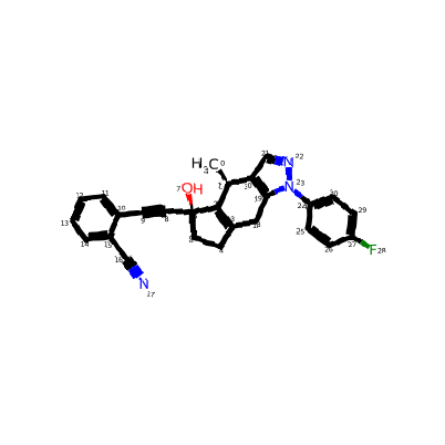 C[C@@H]1C2=C(CC[C@]2(O)C#Cc2ccccc2C#N)Cc2c1cnn2-c1ccc(F)cc1